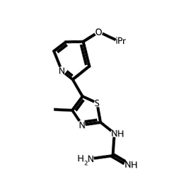 Cc1nc(NC(=N)N)sc1-c1cc(OC(C)C)ccn1